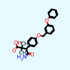 CC(C)(C(=O)O)C(C(N)=O)c1ccc(OCc2cccc(Oc3ccccc3)c2)cc1